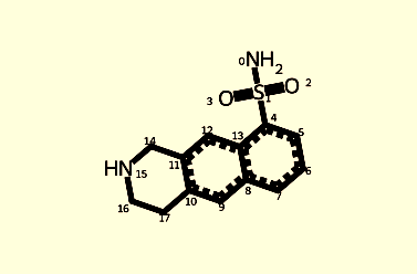 NS(=O)(=O)c1cccc2cc3c(cc12)CNCC3